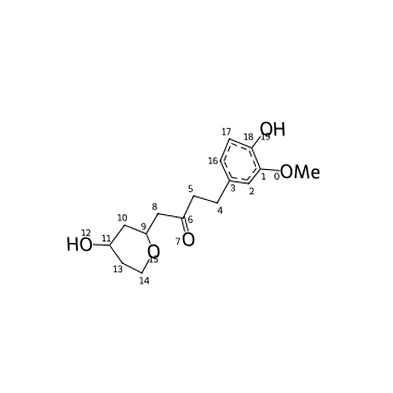 COc1cc(CCC(=O)CC2CC(O)CCO2)ccc1O